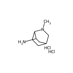 CN1CC2CCC1C(N)C2.Cl.Cl